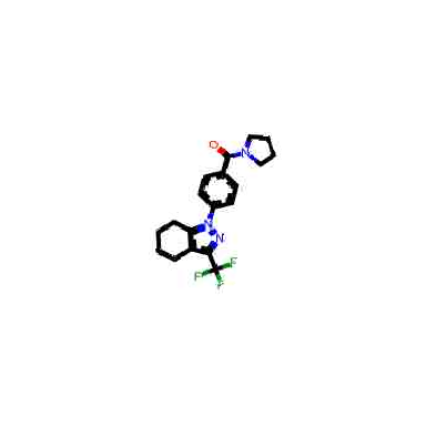 O=C(c1ccc(-n2nc(C(F)(F)F)c3c2CCCC3)cc1)N1CCCC1